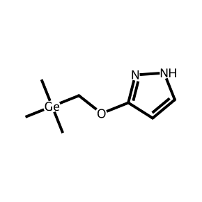 [CH3][Ge]([CH3])([CH3])[CH2]Oc1cc[nH]n1